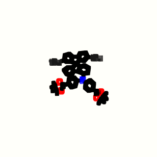 CC(C)(C)c1ccc2c(c1)C1(c3cc(C(C)(C)C)ccc3-2)c2ccccc2-c2c(N(c3ccc(B4OC(C)(C)C(C)(C)O4)cc3)c3ccc(B4OC(C)(C)C(C)(C)O4)cc3)cccc21